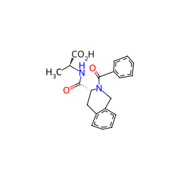 C[C@H](NC(=O)[C@H]1Cc2ccccc2CN1C(=O)c1ccccc1)C(=O)O